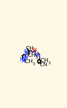 Cc1nn(-c2ccc3nnc(C)n3n2)c(C)c1CCC(=O)N1CCN(Cc2cccc(C#N)c2C)CC1